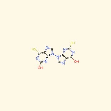 Oc1nc(S)c2ncn(-n3cnc4c(O)nc(S)nc43)c2n1